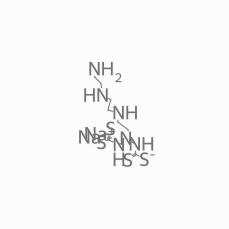 NCCNCCNCCN(NC(=S)[S-])NC(=S)[S-].[Na+].[Na+]